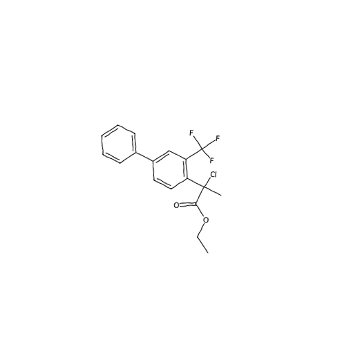 CCOC(=O)C(C)(Cl)c1ccc(-c2ccccc2)cc1C(F)(F)F